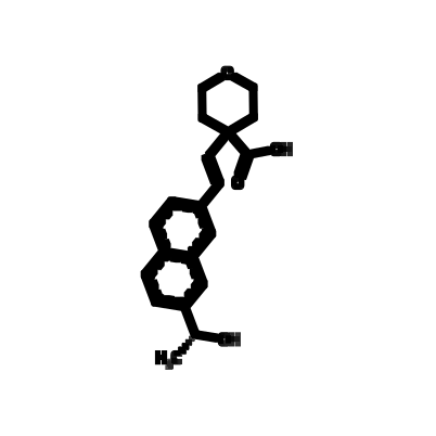 C[C@@H](O)c1ccc2ccc(/C=C/C3(C(=O)O)CCOCC3)cc2c1